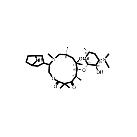 CO[C@]1(C)C[C@@H](C)CN(C)C(C2CC3CCC(C2)N3)COC(=O)C(C)(C)C(=O)[C@H](C)[C@H]1O[C@@H]1O[C@H](C)C[C@H](N(C)C)[C@H]1O